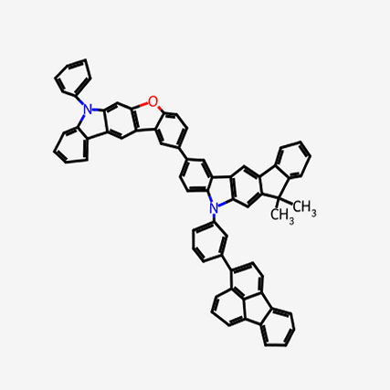 CC1(C)c2ccccc2-c2cc3c4cc(-c5ccc6oc7cc8c(cc7c6c5)c5ccccc5n8-c5ccccc5)ccc4n(-c4cccc(-c5ccc6c7c(cccc57)-c5ccccc5-6)c4)c3cc21